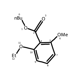 CCCCOC(=O)c1c(OC)cccc1OCC